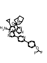 Nc1c(C2CC2)c(C2CC3CCC(C2)N3C(=O)c2nnc[nH]2)nc2c(-c3ccc(-c4ccc(OC(F)F)cc4)nc3)cnn12